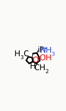 C=C1C[C@]2(O)O[C@@]3(C[C@H]2C(C)C)[C@@H](C)CC[C@@H]13.N